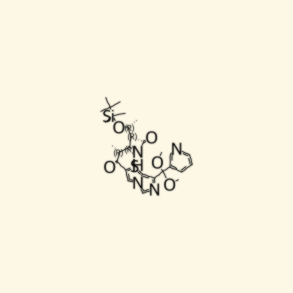 COC(OC)(c1cccnc1)c1ncn2cc(C(=O)[C@H](C)[C@H]3NC(=O)[C@H]3[C@@H](C)O[Si](C)(C)C(C)(C)C)sc12